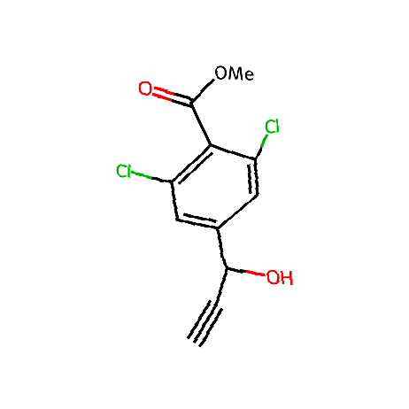 C#CC(O)c1cc(Cl)c(C(=O)OC)c(Cl)c1